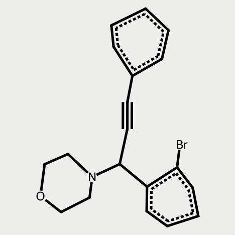 Brc1ccccc1C(C#Cc1ccccc1)N1CCOCC1